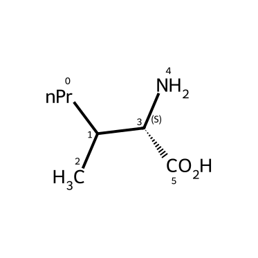 CCCC(C)[C@H](N)C(=O)O